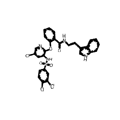 O=C(NCCc1c[nH]c2ccccc12)c1ccccc1Oc1ncc(Cl)cc1NS(=O)(=O)c1ccc(Cl)c(Cl)c1